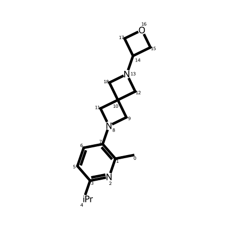 Cc1nc(C(C)C)ccc1N1CC2(C1)CN(C1COC1)C2